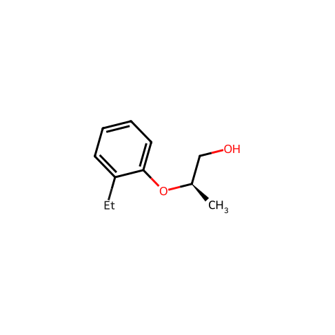 CCc1ccccc1O[C@H](C)CO